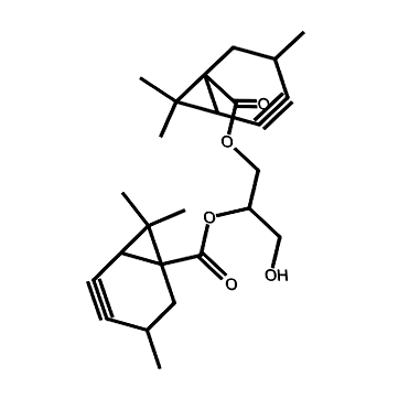 CC1C#CC2C(C)(C)C2(C(=O)OCC(CO)OC(=O)C23CC(C)C#CC2C3(C)C)C1